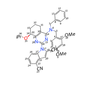 COc1ccc(CN(Cc2ccccc2)c2nc(-n3c(C)cc4c(C#N)cccc43)nc3c2CCC[C@@H]3OC(C)C)c(OC)c1